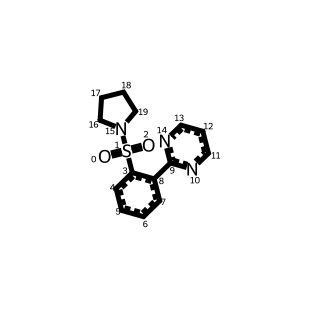 O=S(=O)(c1ccccc1-c1ncccn1)N1CCCC1